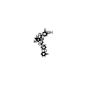 Cc1ccccc1OC1CCN(C(=O)Cn2nc(C(=O)N3CC[C@@H](O)[C@@H](F)C3)c3c2C[C@H]2C[C@@H]32)CC1